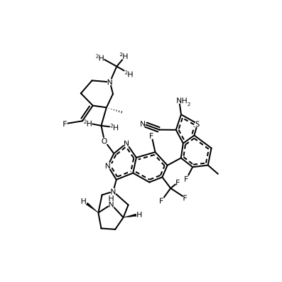 [2H]C([2H])([2H])N1CC/C(=C\F)[C@](C)(C([2H])([2H])Oc2nc(N3C[C@H]4CC[C@@H](C3)N4)c3cc(C(F)(F)F)c(-c4c(F)c(C)cc5sc(N)c(C#N)c45)c(F)c3n2)C1